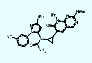 CNc1ncc2cc(C3CC3N(C(N)=O)c3cc(C(C)(C)C)nn3-c3cccc(C#N)c3)c(=O)n(C(C)C)c2n1